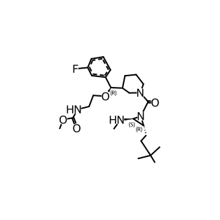 CN[C@@H]1[C@@H](CCC(C)(C)C)N1C(=O)N1CCCC([C@@H](OCCNC(=O)OC)c2cccc(F)c2)C1